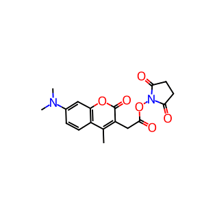 Cc1c(CC(=O)ON2C(=O)CCC2=O)c(=O)oc2cc(N(C)C)ccc12